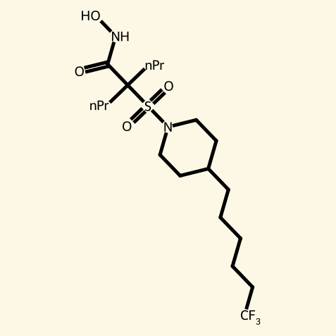 CCCC(CCC)(C(=O)NO)S(=O)(=O)N1CCC(CCCCCC(F)(F)F)CC1